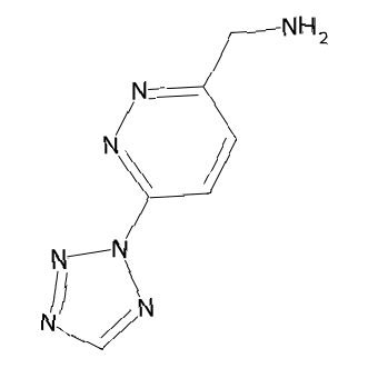 NCc1ccc(-n2ncnn2)nn1